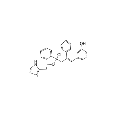 Oc1cccc(C=C(CC(Cl)(OCCc2ncc[nH]2)c2ccccc2)c2ccccc2)c1